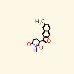 Cc1ccc2cc3occ(C4CCC(=O)NC4=O)c3cc2c1